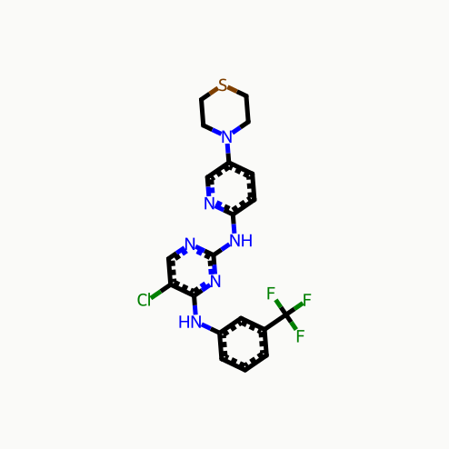 FC(F)(F)c1cccc(Nc2nc(Nc3ccc(N4CCSCC4)cn3)ncc2Cl)c1